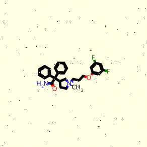 C[N@+]1(CCCOc2cc(F)cc(F)c2)CCC(C(C(N)=O)(c2ccccc2)c2ccccc2)C1